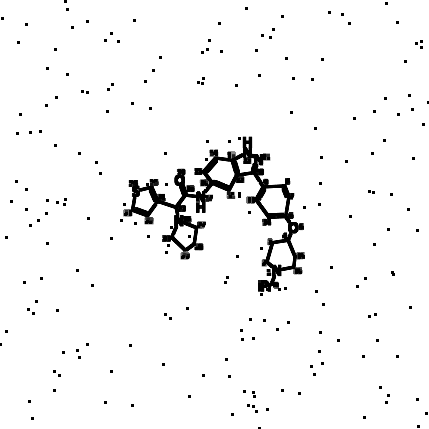 CC(C)N1CCC(Oc2ccc(-c3n[nH]c4ccc(NC(=O)C(c5ccsc5)N5CCCC5)cc34)cc2)CC1